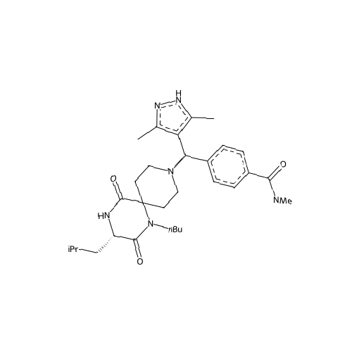 CCCCN1C(=O)[C@H](CC(C)C)NC(=O)C12CCN(C(c1ccc(C(=O)NC)cc1)c1c(C)n[nH]c1C)CC2